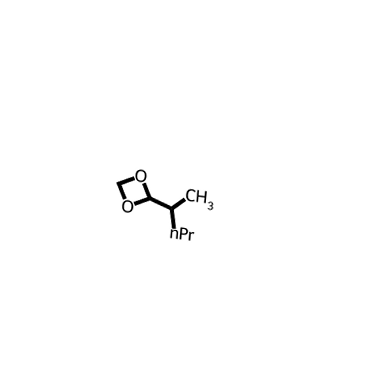 CCCC(C)C1OCO1